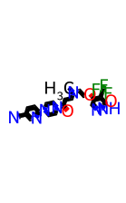 CN(CCOc1cn[nH]c(=O)c1C(F)(F)F)CCC(=O)N1CCN(c2ccc(C#N)cn2)CC1